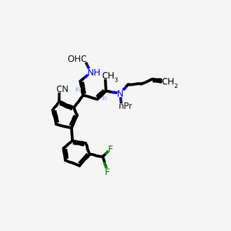 C=CCCN(CCC)/C(C)=C/C(=C\NC=O)c1cc(-c2cccc(C(F)F)c2)ccc1C#N